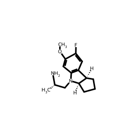 COc1cc2c(cc1F)[C@H]1CCC[C@H]1N2C[C@H](C)N